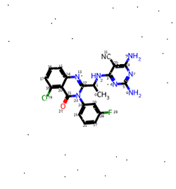 CC(Nc1nc(N)nc(N)c1C#N)c1nc2cccc(Cl)c2c(=O)n1-c1cccc(F)c1